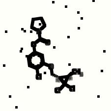 C[C@@H]1[C@@H](COc2cc(OC(=O)N3CCCC3)ccc2Cl)C1(Cl)Cl